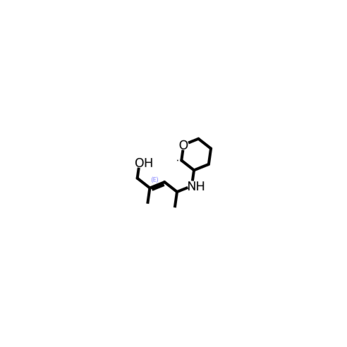 C/C(=C\C(C)NC1[CH]OCCC1)CO